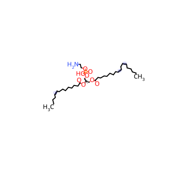 CCCC/C=C\CCCCCCCC(=O)O[C@H](COC(=O)CCCCCCC/C=C\C/C=C\CCCCC)COP(=O)(O)OCCN